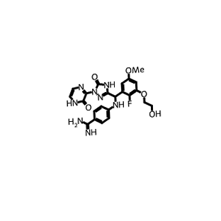 COc1cc(OCCO)c(F)c(C(Nc2ccc(C(=N)N)cc2)c2nn(-c3ncc[nH]c3=O)c(=O)[nH]2)c1